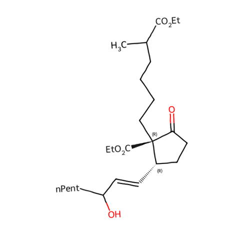 CCCCCC(O)C=C[C@H]1CCC(=O)[C@]1(CCCCC(C)C(=O)OCC)C(=O)OCC